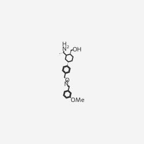 COc1cccc(/C=N/OCc2ccc([C@H]3CC[C@H](CO)C([C@H](C)N)C3)cc2)c1